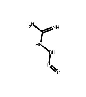 N=C(N)NBP=O